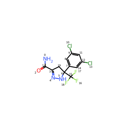 NC(=O)C1=NNC(c2cc(Cl)cc(Cl)c2)(C(F)(F)F)C1